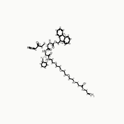 C=CCOC(=O)CCOCCOCCOCCOCCNC(=O)[C@H](Cc1ccccc1)NC(=O)[C@H](CCC(=O)C=[N+]=[N-])NC(=O)OCC1c2ccccc2-c2ccccc21